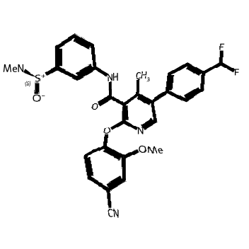 CN[S@+]([O-])c1cccc(NC(=O)c2c(Oc3ccc(C#N)cc3OC)ncc(-c3ccc(C(F)F)cc3)c2C)c1